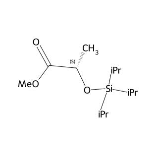 COC(=O)[C@H](C)O[Si](C(C)C)(C(C)C)C(C)C